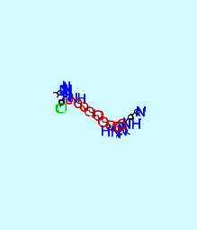 CC1=C(C)C2=C(C1)n1c(C)nnc1C(CC(=O)NCCOCCOCCOCCOCCOCCOCC(=O)NC(C(=O)N1CC(C)CC1C(=O)NCc1ccc(C3=C(C)N=CC3)cc1)C(C)(C)C)N=C2c1ccc(Cl)cc1